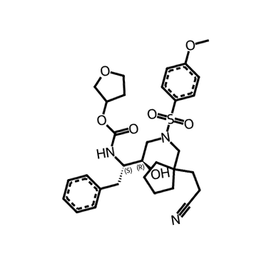 COc1ccc(S(=O)(=O)N(C[C@@H](O)[C@H](Cc2ccccc2)NC(=O)OC2CCOC2)CC2(CCC#N)CCCC2)cc1